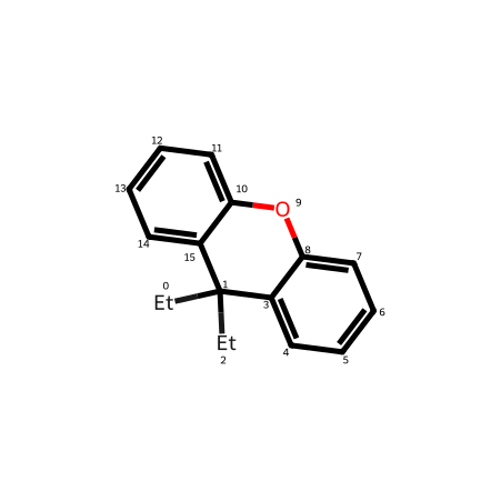 CCC1(CC)c2ccccc2Oc2ccccc21